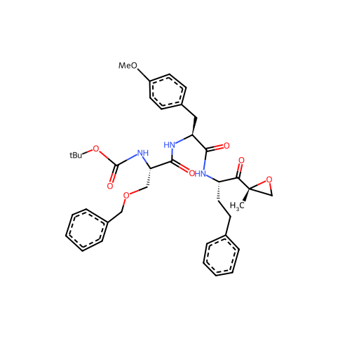 COc1ccc(C[C@H](NC(=O)[C@H](COCc2ccccc2)NC(=O)OC(C)(C)C)C(=O)N[C@@H](CCc2ccccc2)C(=O)[C@@]2(C)CO2)cc1